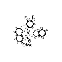 COc1ccc2ccccc2c1C(=O)N(Cc1ccc(F)c(F)c1)C1Cc2ccccc2C1